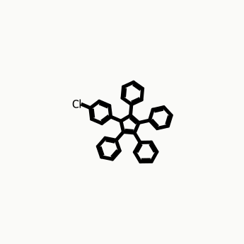 Clc1ccc(C2C(c3ccccc3)=C(c3ccccc3)C(c3ccccc3)=C2c2ccccc2)cc1